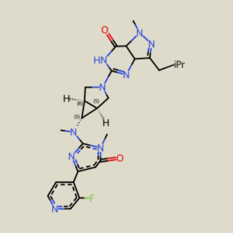 CC(C)CC1=NN(C)C2C(=O)NC(N3C[C@@H]4[C@H](C3)[C@H]4N(C)c3nc(-c4ccncc4F)cc(=O)n3C)=NC12